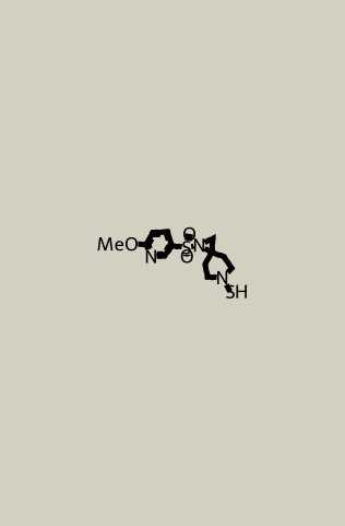 COc1ccc(S(=O)(=O)N2CC23CCN(S)CC3)cn1